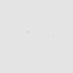 CC(=O)Oc1cccc(C(=O)Nc2ccc3c(c2)C2=C(CO3)C(C(N)=O)(c3ccc4c(c3)OCO4)N=N2)c1C